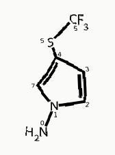 Nn1ccc(SC(F)(F)F)c1